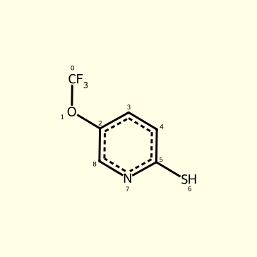 FC(F)(F)Oc1ccc(S)nc1